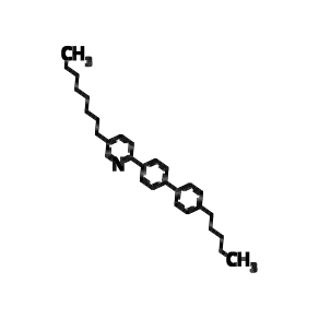 CCCCCCCCc1ccc(-c2ccc(-c3ccc(CCCCC)cc3)cc2)nc1